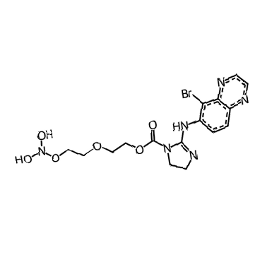 O=C(OCCOCCON(O)O)N1CCN=C1Nc1ccc2nccnc2c1Br